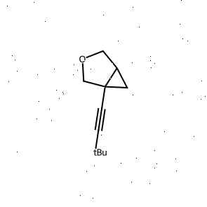 CC(C)(C)C#CC12COCC1C2